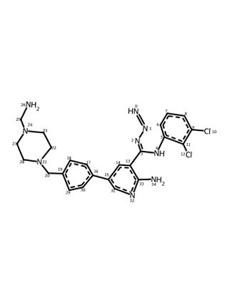 N=N/N=C(\Nc1cccc(Cl)c1Cl)c1cc(-c2ccc(CN3CCN(CN)CC3)cc2)cnc1N